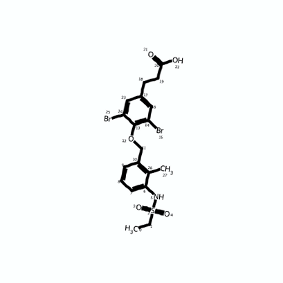 CCS(=O)(=O)Nc1cccc(COc2c(Br)cc(CCC(=O)O)cc2Br)c1C